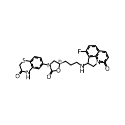 O=C1CSc2ccc(N3C[C@@H](CCCNC4Cn5c(=O)ccc6ccc(F)c4c65)OC3=O)cc2N1